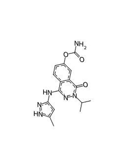 Cc1cc(Nc2nn(C(C)C)c(=O)c3cc(OC(N)=O)ccc23)n[nH]1